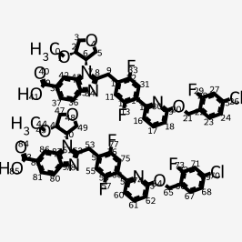 CO[C@H]1COC[C@H]1n1c(Cc2cc(F)c(-c3cccc(OCc4ccc(Cl)cc4F)n3)cc2F)nc2ccc(C(=O)O)cc21.CO[C@H]1COC[C@H]1n1c(Cc2cc(F)c(-c3cccc(OCc4ccc(Cl)cc4F)n3)cc2F)nc2ccc(C(=O)O)cc21